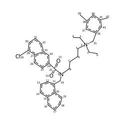 CC[N+](CC)(CCCCN(Cc1cccc2ccccc12)S(=O)(=O)c1ccc2c(Cl)cccc2c1)Cc1cc(C)cc(C)c1